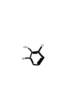 CCCc1c(Cl)[c]ccc1Br